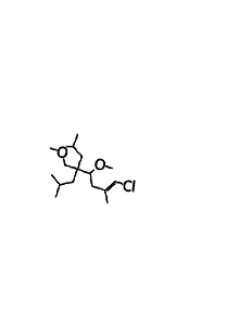 COCC(CC(C)C)(CC(C)C)C(CC(C)=CCl)OC